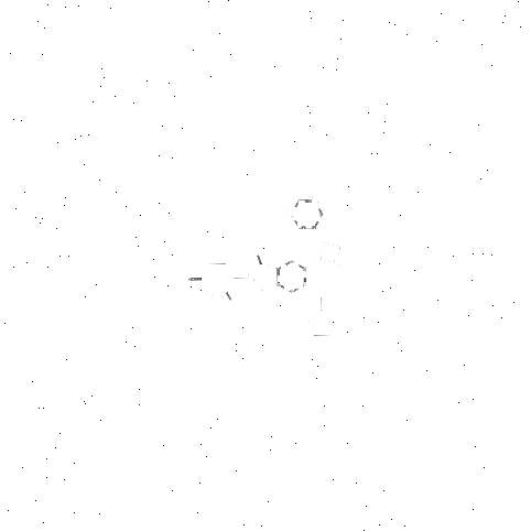 O=C1CCC(N2Cc3cc(OC4CCCC4)c(C4NCC4c4cncnc4)cc3C2=O)C(=O)N1